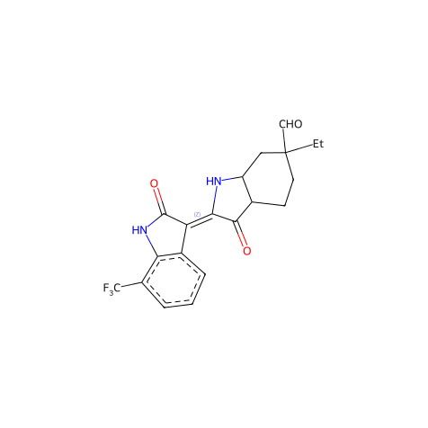 CCC1(C=O)CCC2C(=O)/C(=C3/C(=O)Nc4c3cccc4C(F)(F)F)NC2C1